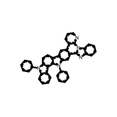 c1ccc(-n2c3ccccc3c3c2ccc2c4cc5c6cccnc6n6c7ccccc7nc6c5cc4n(-c4ccccc4)c23)cc1